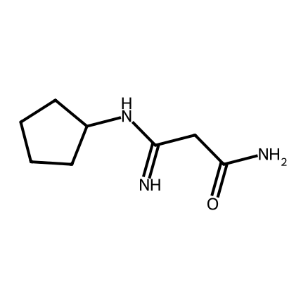 N=C(CC(N)=O)NC1CCCC1